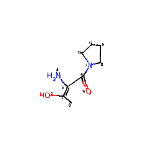 C/C(O)=C(/N)C(=O)N1CCCC1